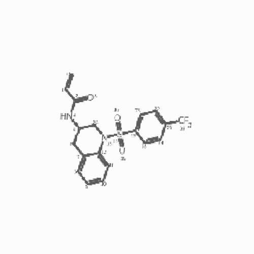 C=CC(=O)NC1Cc2ccccc2N(S(=O)(=O)c2ccc(C(F)(F)F)cc2)C1